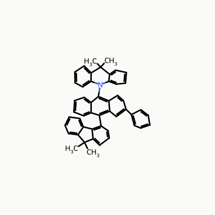 CC1(C)c2ccccc2N(c2c3ccccc3c(-c3cccc4c3-c3ccccc3C4(C)C)c3cc(-c4ccccc4)ccc23)c2ccccc21